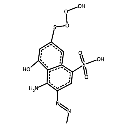 CN=Nc1cc(S(=O)(=O)O)c2cc(SOOO)cc(O)c2c1N